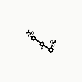 C=CC(=O)OCc1ccccc1C#Cc1ccc(C#Cc2ccc(OC(=O)C(=C)C)cc2)cc1F